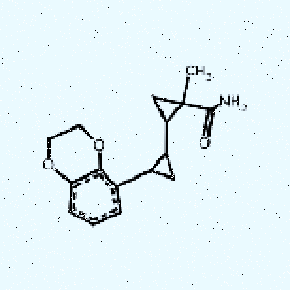 CC1(C(N)=O)CC1C1CC1c1cccc2c1OCCO2